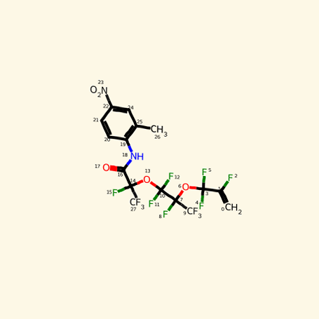 C=C(F)C(F)(F)OC(F)(C(F)(F)F)C(F)(F)OC(F)(C(=O)Nc1ccc([N+](=O)[O-])cc1C)C(F)(F)F